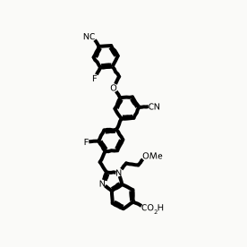 COCCn1c(Cc2ccc(-c3cc(C#N)cc(OCc4ccc(C#N)cc4F)c3)cc2F)nc2ccc(C(=O)O)cc21